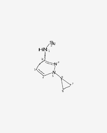 CC(C)(C)Nc1ccn(C2CC2)n1